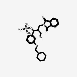 CCC(CN1C(=O)c2ccccc2C1=O)C(O[Si](C)(C)C)c1cccc(OCC2CCCCC2)c1